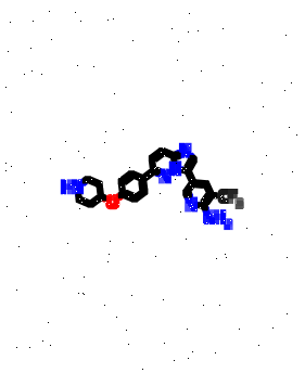 Nc1ncc(-c2cnc3ccc(-c4ccc(OC5CCNCC5)cc4)nn23)cc1C(F)(F)F